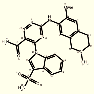 COc1cc2c(cc1Nc1nnc(C(N)=O)c(-n3cc(S(N)(=O)=O)c4ccccc43)n1)CN(C)CC2